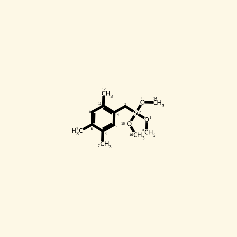 CO[Si](Cc1cc(C)c(C)cc1C)(OC)OC